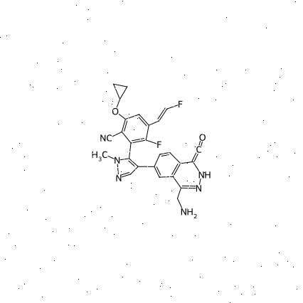 Cn1ncc(-c2ccc3c(c2)C(CN)=NNC3=C=O)c1-c1c(F)c(C=CF)cc(OC2CC2)c1C#N